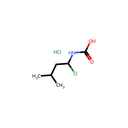 CC(C)CC(Cl)NC(=O)O.Cl